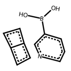 OB(O)c1cccnc1.c1cc2ccc1-2